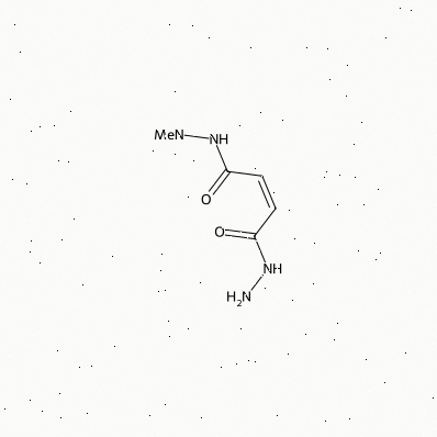 CNNC(=O)/C=C\C(=O)NN